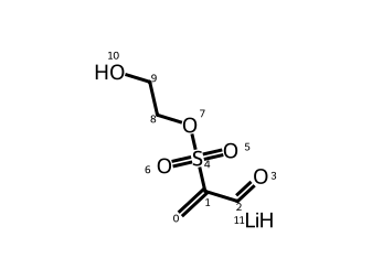 C=C(C=O)S(=O)(=O)OCCO.[LiH]